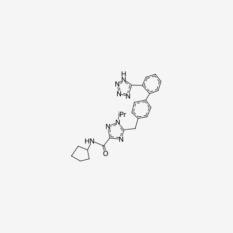 CC(C)n1nc(C(=O)NC2CCCC2)nc1Cc1ccc(-c2ccccc2-c2nnn[nH]2)cc1